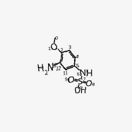 COc1ccc(NS(=O)(=O)O)cc1N